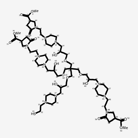 COC(=O)C1CC(=O)N(CCN2CCN(CC(O)COCC(COCC(O)CN3CCN(CCS)CC3)(COCC(O)CN3CCN(CCN4CC(C(=O)OC)CC4=O)CC3)COCC(O)CN3CCN(CCN4CC(C(=O)OC)CC4=O)CC3)CC2)C1